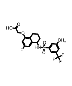 Bc1cc(C(F)(F)F)cc(S(=O)(=O)NC2CCCc3c(OCC(=O)O)cc(F)cc32)c1